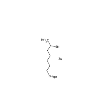 CCCCCCCCCCCCC(S)C(=O)O.[Zn]